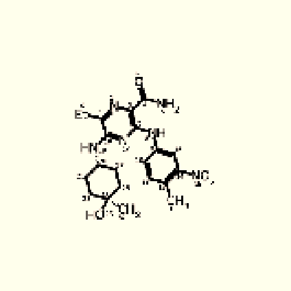 CCc1nc(C(N)=O)c(Nc2ccc(C)c([N+](=O)[O-])c2)nc1N[C@H]1CC[C@](C)(O)CC1